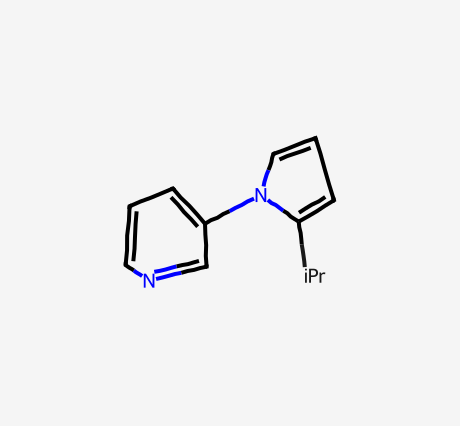 CC(C)c1cccn1-c1cccnc1